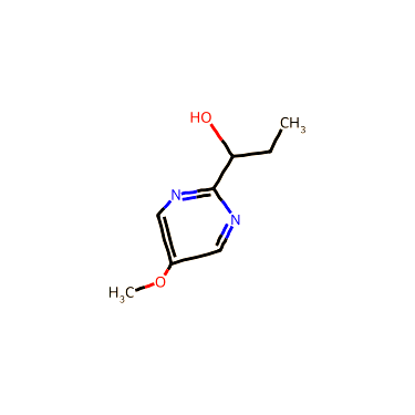 CCC(O)c1ncc(OC)cn1